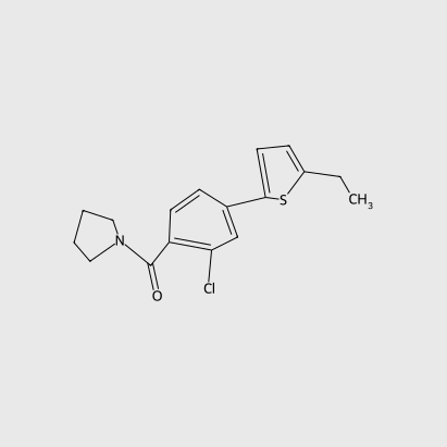 CCc1ccc(-c2ccc(C(=O)N3CCCC3)c(Cl)c2)s1